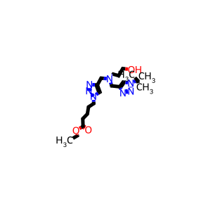 CCOC(=O)CCCCn1cc(CN(CCCO)Cc2cn(C(C)(C)C)nn2)nn1